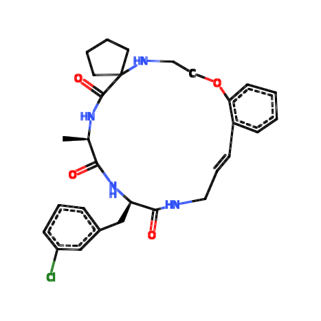 C[C@H]1NC(=O)C2(CCCC2)NCCOc2ccccc2/C=C/CNC(=O)[C@@H](Cc2cccc(Cl)c2)NC1=O